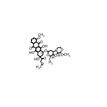 COCC(=O)[C@]1(O)Cc2c(O)c3c(c(O)c2[C@@H](O[C@H]2CC4[C@H](O[C@@H]5[C@@H](OC)OCCN45)[C@H](C)O2)C1)C(=O)c1c(OC)cccc1C3=O